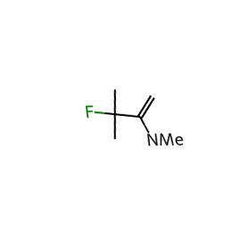 C=C(NC)C(C)(C)F